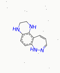 C1=Cc2c(ccc3c2NCCN3)NN=C1